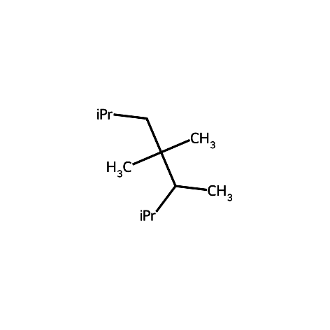 [CH2]C(C)C(C)C(C)(C)CC(C)C